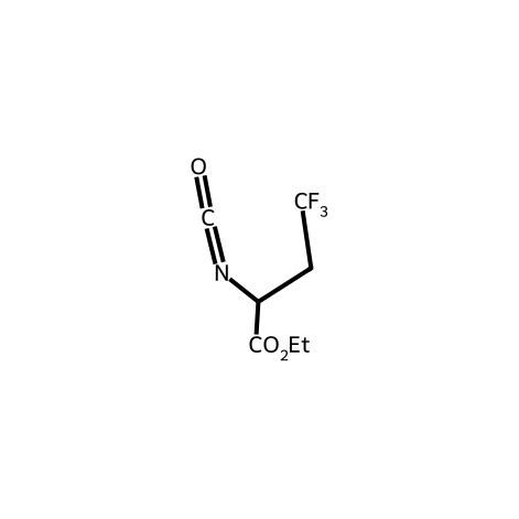 CCOC(=O)C(CC(F)(F)F)N=C=O